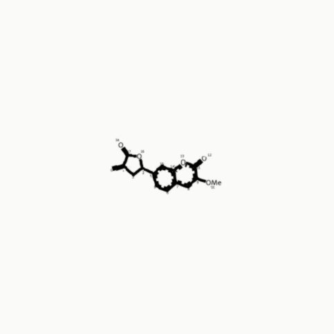 C=C1CC(c2ccc3cc(OC)c(=O)oc3c2)OC1=O